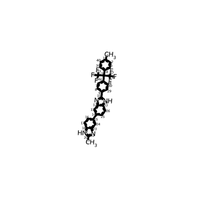 Cc1ccc(C(c2ccc(-c3nc4cc(-c5ccc6[nH]c(C)nc6c5)ccc4[nH]3)cc2)(C(F)(F)F)C(F)(F)F)cc1